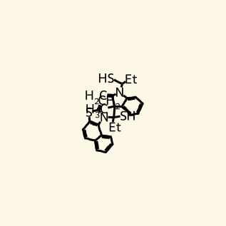 C=C1Sc2ccc3ccccc3c2N1C(S)(CC)C1(C)C(=C)N(C(S)CC)c2ccccc21